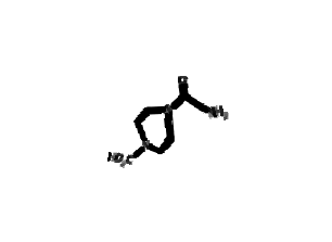 NC(=O)N1CCN(C(=O)O)CC1